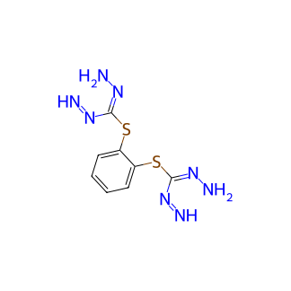 N=NC(=NN)Sc1ccccc1SC(N=N)=NN